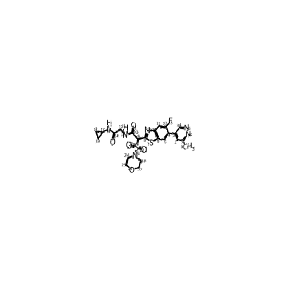 Cc1cc(-c2cc3sc(C(C(=O)NCC(=O)NC4CC4)S(=O)(=O)N4CCOCC4)nc3cc2F)cnn1